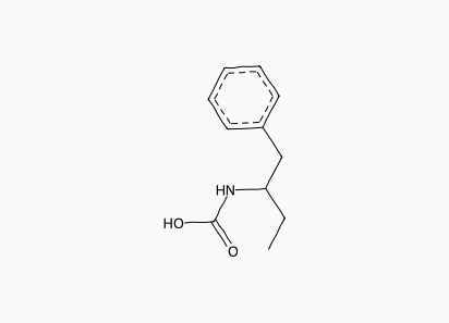 CCC(Cc1ccccc1)NC(=O)O